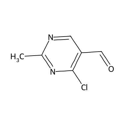 Cc1ncc(C=O)c(Cl)n1